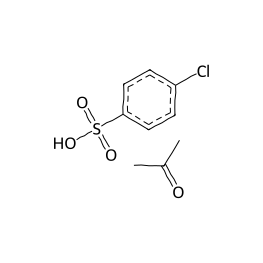 CC(C)=O.O=S(=O)(O)c1ccc(Cl)cc1